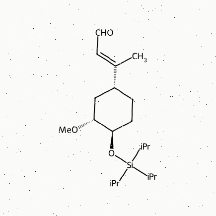 CO[C@@H]1C[C@H](C(C)=CC=O)CC[C@H]1O[Si](C(C)C)(C(C)C)C(C)C